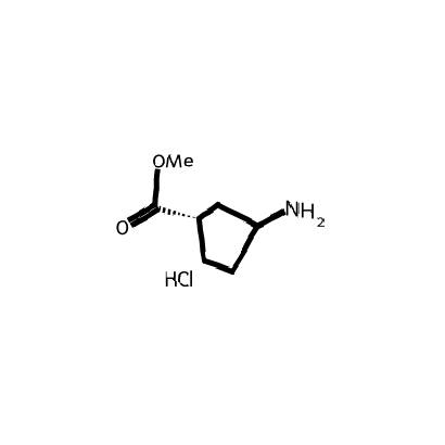 COC(=O)[C@H]1CCC(N)C1.Cl